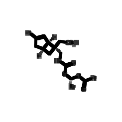 CCC(=O)O[C@@H](OC(=O)NC[C@]1(CC(=O)O)C[C@H]2CC(CC)=C[C@H]21)C(C)C